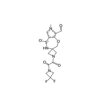 Cn1cc2c(c1C=O)OCC1(CN(C(=O)C(=O)N3CC(F)(F)C3)C1)N[S+]2[O-]